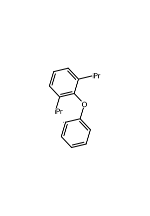 CC(C)c1cccc(C(C)C)c1Oc1[c]cccc1